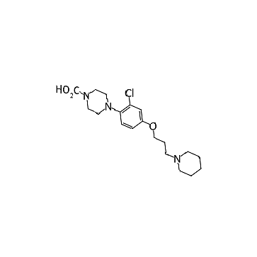 O=C(O)N1CCN(c2ccc(OCCCN3CCCCC3)cc2Cl)CC1